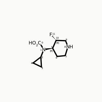 O=C(O)N(C1CC1)[C@@H]1CCNC[C@H]1F